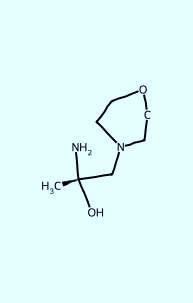 C[C@](N)(O)CN1CCOCC1